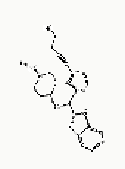 CN1CCC(OC(c2cccc(C#CCCO)c2)c2nc3ccccc3s2)CC1